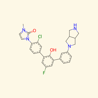 Cn1ccn(-c2ccc(-c3cc(F)cc(-c4cccc(N5CC6CNCC6C5)c4)c3O)cc2Cl)c1=O